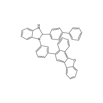 c1ccc(-c2ccc(C3Nc4ccccc4N3c3cccc(-c4cc5c6ccccc6oc5c5ccccc45)c3)cc2)cc1